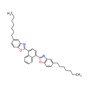 CCCCCCCc1ccc2oc(-c3ccc(-c4nc5cc(CCCCCCC)ccc5o4)c4ccccc34)nc2c1